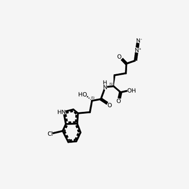 [N-]=[N+]=CC(=O)CC[C@H](NC(=O)[C@@H](O)Cc1c[nH]c2c(Cl)cccc12)C(=O)O